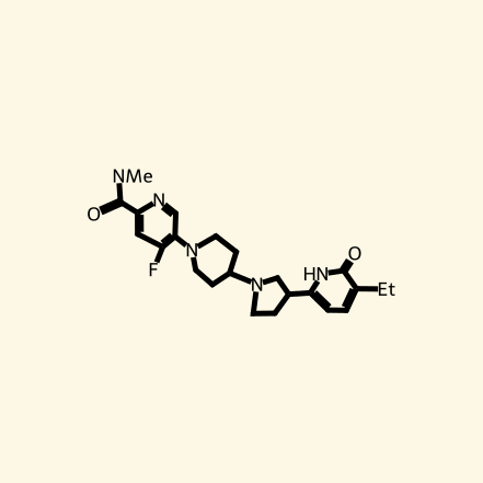 CCc1ccc(C2CCN(C3CCN(c4cnc(C(=O)NC)cc4F)CC3)C2)[nH]c1=O